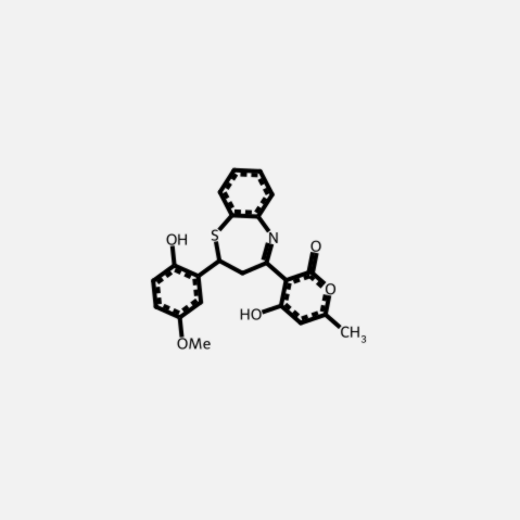 COc1ccc(O)c(C2CC(c3c(O)cc(C)oc3=O)=Nc3ccccc3S2)c1